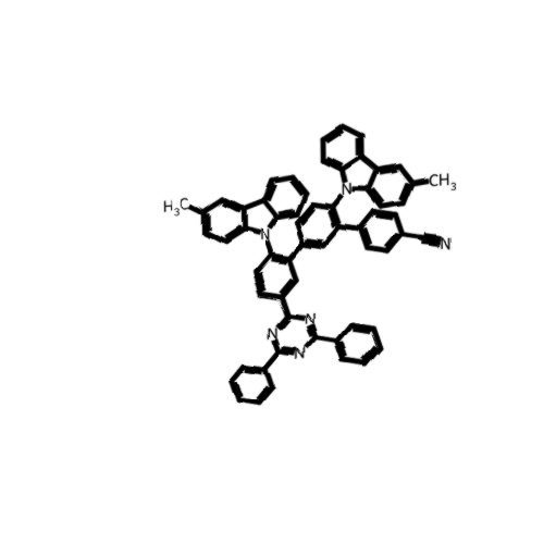 Cc1ccc2c(c1)c1ccccc1n2-c1ccc(-c2nc(-c3ccccc3)nc(-c3ccccc3)n2)cc1-c1ccc(-n2c3ccccc3c3cc(C)ccc32)c(-c2ccc(C#N)cc2)c1